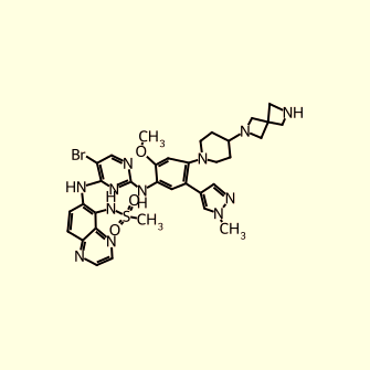 COc1cc(N2CCC(N3CC4(CNC4)C3)CC2)c(-c2cnn(C)c2)cc1Nc1ncc(Br)c(Nc2ccc3nccnc3c2NS(C)(=O)=O)n1